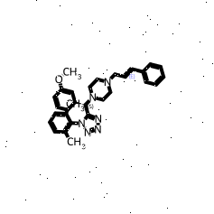 COC1=CC([C@@H](c2nnnn2-c2c(C)cccc2C)N2CCN(C/C=C/c3ccccc3)CC2)CC=C1